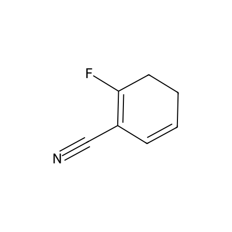 N#CC1=C(F)CCC=C1